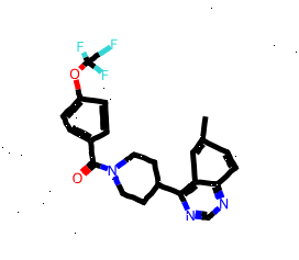 Cc1ccc2ncnc(C3CCN(C(=O)c4ccc(OC(F)(F)F)cc4)CC3)c2c1